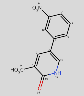 O=C(O)c1cc(-c2cccc([N+](=O)[O-])c2)c[nH]c1=O